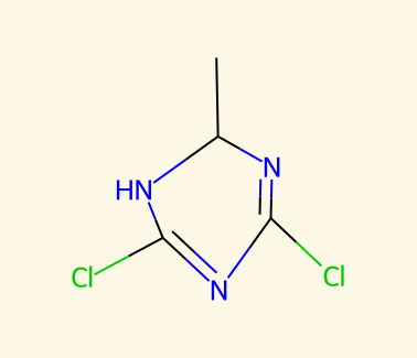 CC1N=C(Cl)N=C(Cl)N1